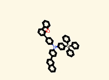 c1ccc([Si](c2ccccc2)(c2ccccc2)c2ccc(N(c3ccc(-c4ccc5ccccc5c4)cc3)c3ccc(-c4cccc5c4oc4ccccc45)cc3)cc2)cc1